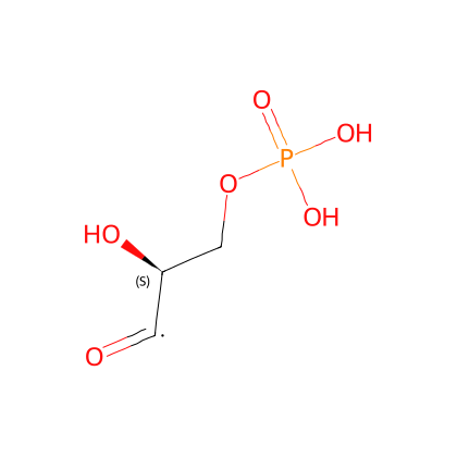 O=[C][C@@H](O)COP(=O)(O)O